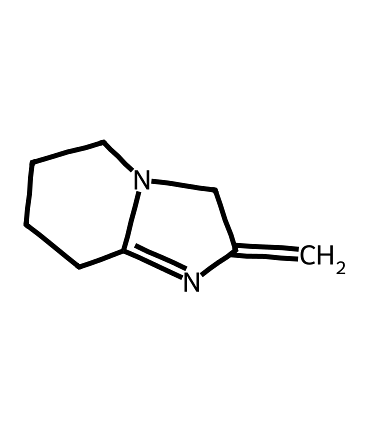 C=C1CN2CCCCC2=N1